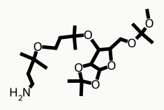 COC(C)(C)OCC1OC2OC(C)(C)OC2C1OC(C)(C)CCOC(C)(C)CCN